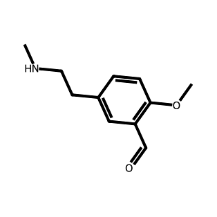 CNCCc1ccc(OC)c(C=O)c1